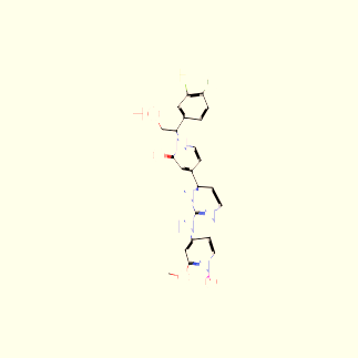 COc1cc(Nc2nccc(-c3ccn(C(CO)c4ccc(Cl)c(F)c4)c(=O)c3)n2)cc[n+]1[O-]